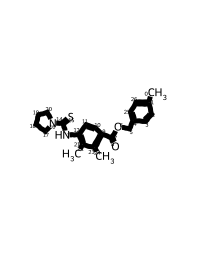 Cc1ccc(COC(=O)c2ccc(NC(=S)N3CCCC3)c(C)c2C)cc1